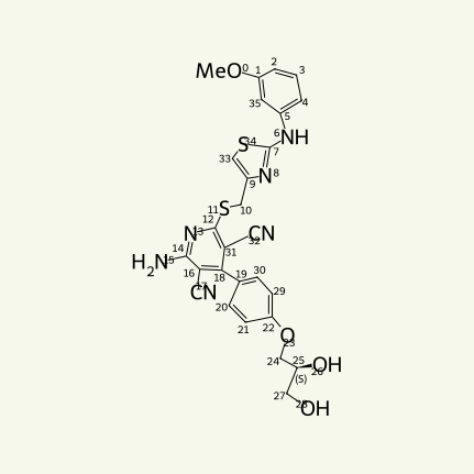 COc1cccc(Nc2nc(CSc3nc(N)c(C#N)c(-c4ccc(OC[C@@H](O)CO)cc4)c3C#N)cs2)c1